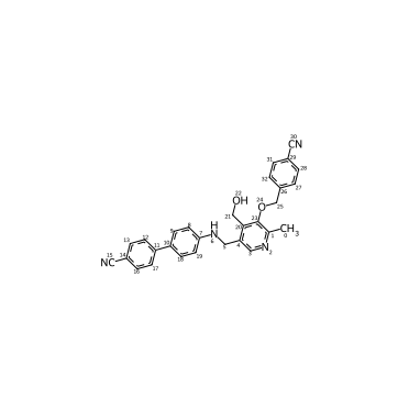 Cc1ncc(CNc2ccc(-c3ccc(C#N)cc3)cc2)c(CO)c1OCc1ccc(C#N)cc1